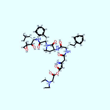 CCN(CC)CC(=O)Oc1cc(CC(=O)N[C@@H](CCc2ccccc2)C(=O)N[C@H]2CC(C)N([C@@H](Cc3ccccc3)C(=O)N[C@@H](CC(C)C)C(=O)C3(C)CO3)C2=O)no1